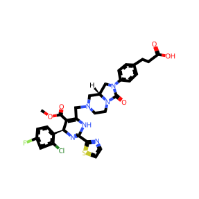 COC(=O)C1=C(CN2CCN3C(=O)N(c4ccc(CCC(=O)O)cc4)C[C@H]3C2)NC(c2nccs2)=N[C@H]1c1ccc(F)cc1Cl